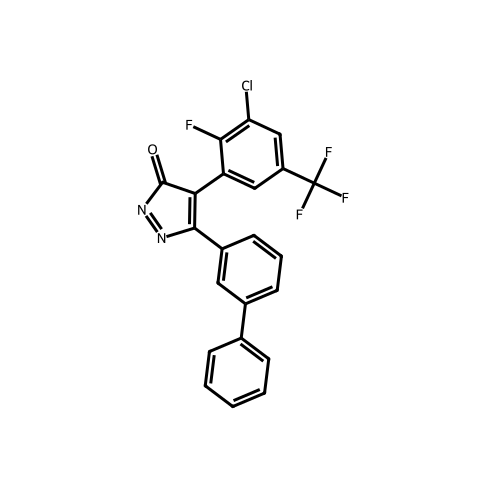 O=C1N=NC(c2cccc(-c3ccccc3)c2)=C1c1cc(C(F)(F)F)cc(Cl)c1F